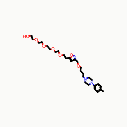 Cc1ccc(N2CCN(CCCCOCc3cc(CCOCCOCCOCCOCCO)on3)CC2)cc1